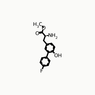 COC(=O)[C@@H](N)Cc1ccc(O)c(-c2ccc(F)cc2)c1